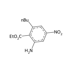 CCCCc1cc([N+](=O)[O-])cc(N)c1C(=O)OCC